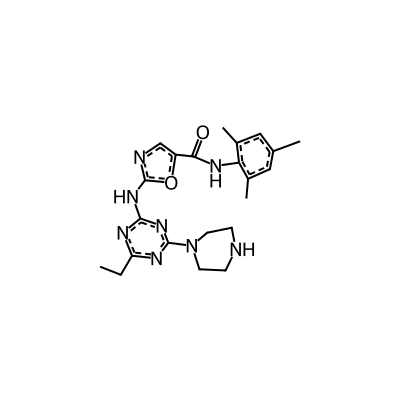 CCc1nc(Nc2ncc(C(=O)Nc3c(C)cc(C)cc3C)o2)nc(N2CCNCC2)n1